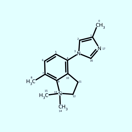 Cc1cn(-c2ccc(C)c3c2CC[Si]3(C)C)cn1